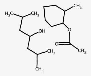 CC(=O)OC1CCCCC1C.CC(C)CC(O)CC(C)C